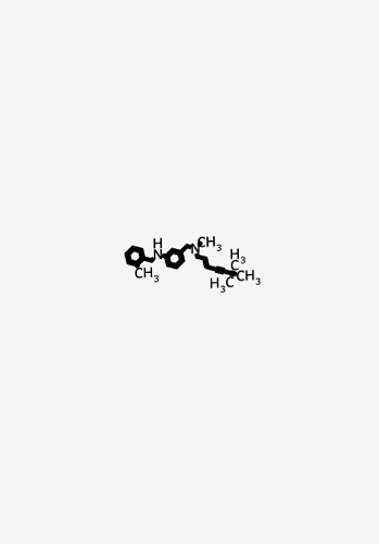 Cc1ccccc1CNc1cccc(CN(C)C/C=C/C#CC(C)(C)C)c1